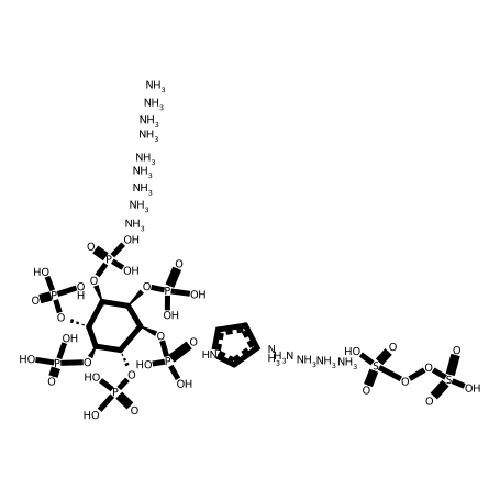 N.N.N.N.N.N.N.N.N.N.N.N.N.N.O=P(O)(O)O[C@H]1[C@H](OP(=O)(O)O)[C@@H](OP(=O)(O)O)[C@H](OP(=O)(O)O)[C@@H](OP(=O)(O)O)[C@H]1OP(=O)(O)O.O=S(=O)(O)OOS(=O)(=O)O.c1cc[nH]c1